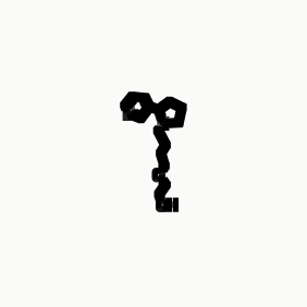 OCCOCCCCN1CCCC1c1cccnc1